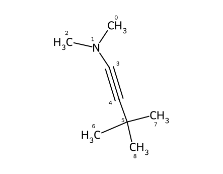 CN(C)C#CC(C)(C)C